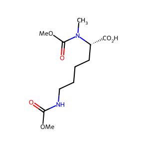 COC(=O)NCCCC[C@@H](C(=O)O)N(C)C(=O)OC